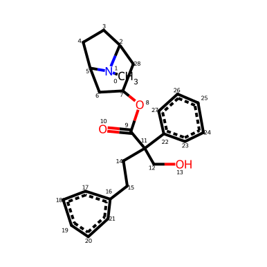 CN1C2CCC1CC(OC(=O)C(CO)(CCc1ccccc1)c1ccccc1)C2